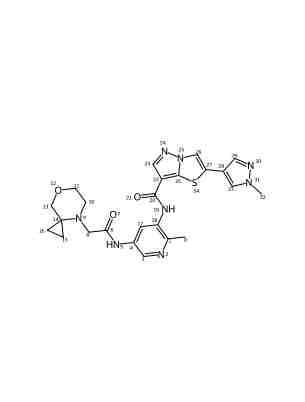 Cc1ncc(NC(=O)CN2CCOCC23CC3)cc1NC(=O)c1cnn2cc(-c3cnn(C)c3)sc12